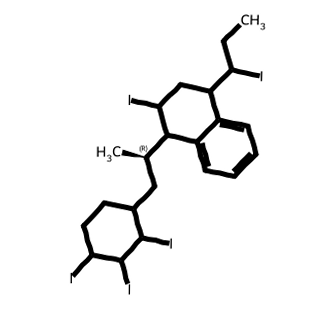 CCC(I)C1CC(I)C([C@H](C)CC2CCC(I)C(I)C2I)c2ccccc21